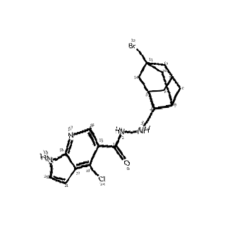 O=C(NNC1C2CC3CC1CC(Br)(C3)C2)c1cnc2[nH]ccc2c1Cl